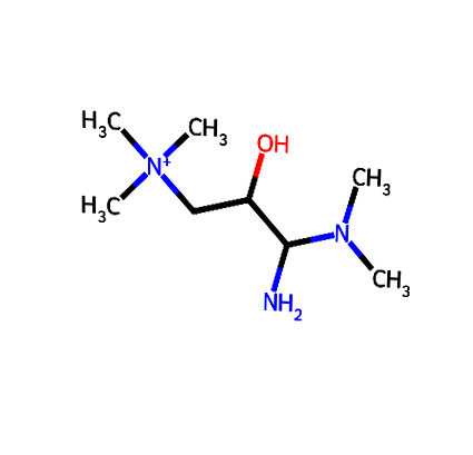 CN(C)C(N)C(O)C[N+](C)(C)C